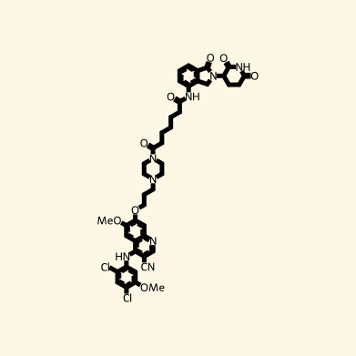 COc1cc(Nc2c(C#N)cnc3cc(OCCCN4CCN(C(=O)CCCCCC(=O)Nc5cccc6c5CN(C5CCC(=O)NC5=O)C6=O)CC4)c(OC)cc23)c(Cl)cc1Cl